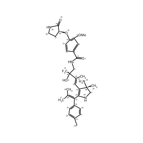 COc1cc(C(=O)NC[C@@](O)(/C(C)=C/C2=C(C(=C(C)C)c3ccc(F)cc3)NC[C@@]2(C)N)C(F)(F)F)ccc1O[C@H]1CCNC1=O